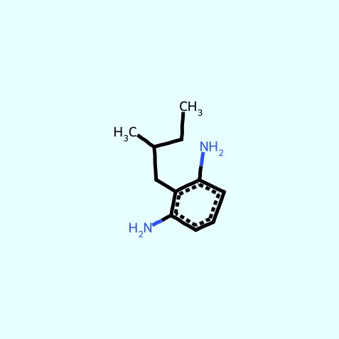 CCC(C)Cc1c(N)cccc1N